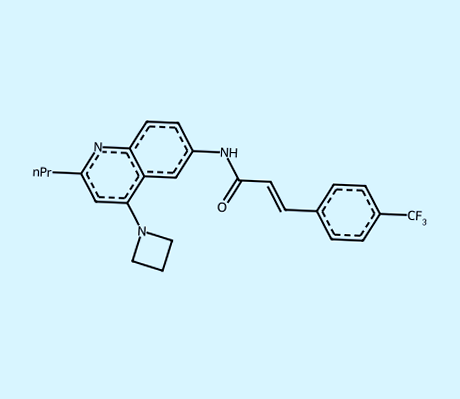 CCCc1cc(N2CCC2)c2cc(NC(=O)C=Cc3ccc(C(F)(F)F)cc3)ccc2n1